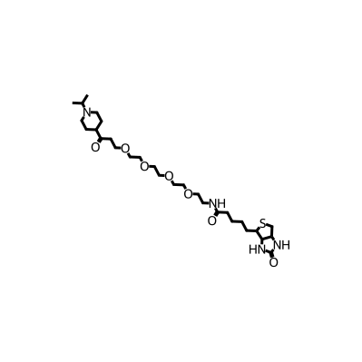 CC(C)N1CCC(C(=O)CCOCCOCCOCCOCCNC(=O)CCCCC2SCC3NC(=O)NC32)CC1